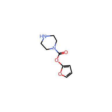 O=C(Oc1ccco1)N1CCNCC1